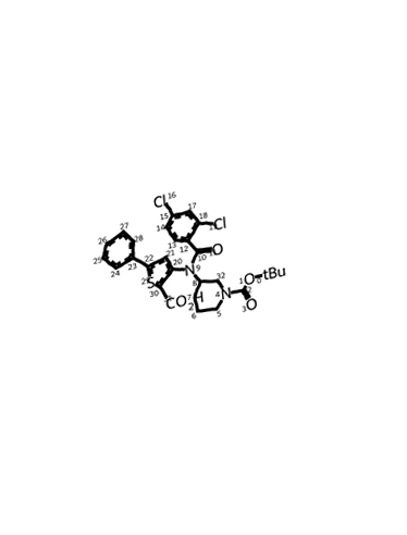 CC(C)(C)OC(=O)N1CCCC(N(C(=O)c2ccc(Cl)cc2Cl)c2cc(-c3ccccc3)sc2C(=O)O)C1